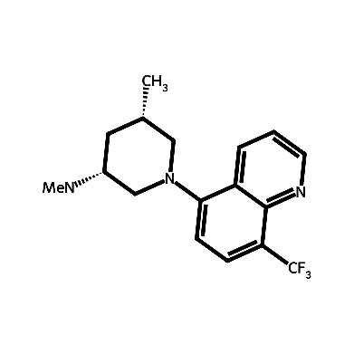 CN[C@@H]1C[C@H](C)CN(c2ccc(C(F)(F)F)c3ncccc23)C1